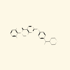 CC(c1ccc(Nc2ncc3c(n2)SCN(c2c(Cl)cccc2Cl)C3=O)cc1)C1CCNCC1